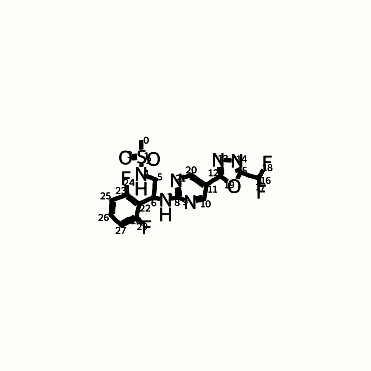 CS(=O)(=O)NCC(Nc1ncc(-c2nnc(C(F)F)o2)cn1)c1c(F)cccc1F